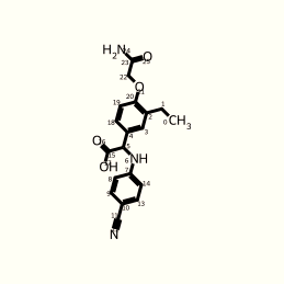 CCc1cc(C(Nc2ccc(C#N)cc2)C(=O)O)ccc1OCC(N)=O